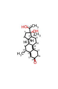 CC(O)[C@@]1(O)CC[C@H]2[C@@H]3C[C@H](C)C4=CC(=O)CCC4=C3CC[C@@]21C